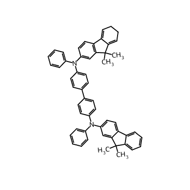 CC1(C)C2=CCCC=C2c2ccc(N(c3ccccc3)c3ccc(-c4ccc(N(c5ccccc5)c5ccc6c(c5)C(C)(C)c5ccccc5-6)cc4)cc3)cc21